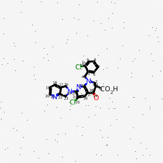 O=C(O)c1cn(Cc2ccccc2Cl)c2nc(N3Cc4cccnc4C3)c(Cl)cc2c1=O